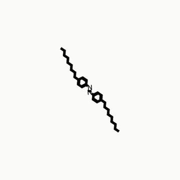 CCCCCCCCCc1ccc(N=Nc2ccc(CCCCCCCCC)cc2)cc1